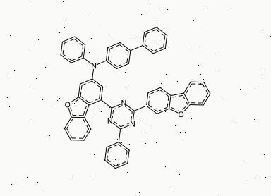 c1ccc(-c2ccc(N(c3ccccc3)c3cc(-c4nc(-c5ccccc5)nc(-c5ccc6c(c5)oc5ccccc56)n4)c4c(c3)oc3ccccc34)cc2)cc1